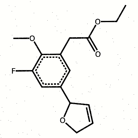 CCOC(=O)Cc1cc(C2C=CCO2)cc(F)c1OC